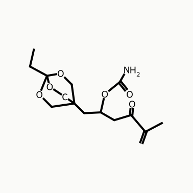 C=C(C)C(=O)CC(CC12COC(CC)(OC1)OC2)OC(N)=O